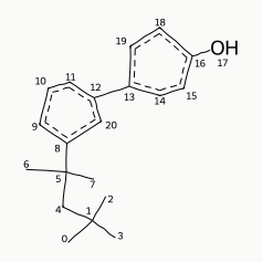 CC(C)(C)CC(C)(C)c1cccc(-c2ccc(O)cc2)c1